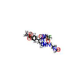 CC(=O)N1CC(CNC(=O)N2CCC(CC(C(=O)Nc3ncc(F)s3)c3ccc(S(=O)(=O)C4CC4)cc3)C2)C1